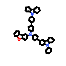 c1ccc(-n2c3ccccc3c3cc(-c4ccc(N(c5ccc(-c6ccc(-n7c8ccccc8c8ccccc87)cc6)cc5)c5ccc6oc7ccccc7c6c5)cc4)ccc32)cc1